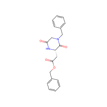 O=C1CN(Cc2ccccc2)C(=O)[C@H](CC(=O)OCc2ccccc2)N1